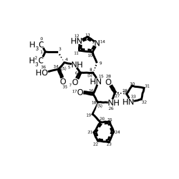 CC(C)C[C@H](NC(=O)[C@H](Cc1c[nH]cn1)NC(=O)[C@H](Cc1ccccc1)NC(=O)[C@@H]1CCCN1)C(=O)O